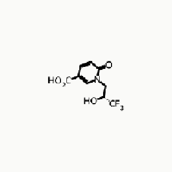 O=C(O)c1ccc(=O)n(C[C@@H](O)C(F)(F)F)c1